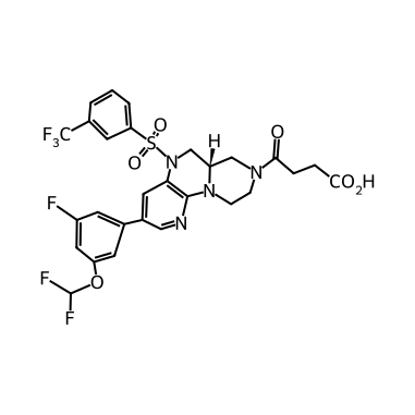 O=C(O)CCC(=O)N1CCN2c3ncc(-c4cc(F)cc(OC(F)F)c4)cc3N(S(=O)(=O)c3cccc(C(F)(F)F)c3)C[C@@H]2C1